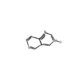 [O-][n+]1cnc2ccncc2c1